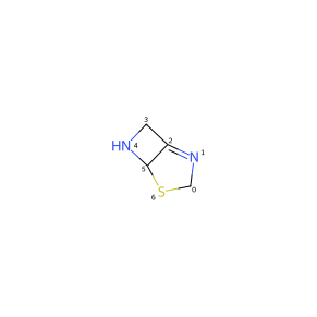 C1N=C2CNC2S1